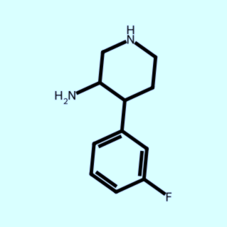 NC1CNCCC1c1cccc(F)c1